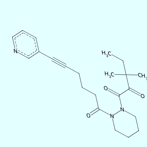 CCC(C)(C)C(=O)C(=O)N1CCCCN1C(=O)CCCC#Cc1cccnc1